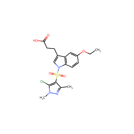 CCOc1ccc2c(c1)c(CCC(=O)O)cn2S(=O)(=O)c1c(C)nn(C)c1Cl